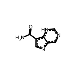 NC(=O)c1cnc2cnc[nH]c1-2